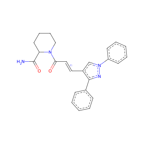 NC(=O)C1CCCCN1C(=O)/C=C/c1cn(-c2ccccc2)nc1-c1ccccc1